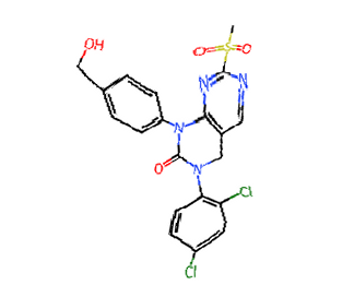 CS(=O)(=O)c1ncc2c(n1)N(c1ccc(CO)cc1)C(=O)N(c1ccc(Cl)cc1Cl)C2